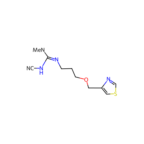 CN/C(=N/CCCOCc1cscn1)NC#N